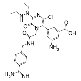 CCNN(CC)c1nc(Cl)c(-c2cc(N)cc(C(=O)O)c2)n(CC(=O)NCc2ccc(C(=N)N)cc2)c1=O